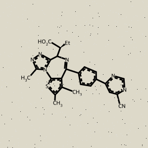 CC[C@H](C(=O)O)C1N=C(c2ccc(-c3cc(C#N)ncn3)cc2)c2c(sc(C)c2C)-n2c(C)nnc21